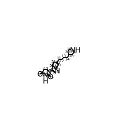 O=C1CCN(c2cnc3cc(CCCCC4CCNCC4)ccn23)C(=O)N1